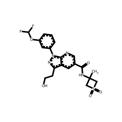 CC1(NC(=O)c2cnc3c(c2)c(CCO)nn3-c2cccc(OC(F)F)c2)CS(=O)(=O)C1